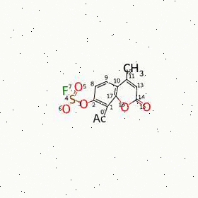 CC(=O)c1c(OS(=O)(=O)F)ccc2c(C)cc(=O)oc12